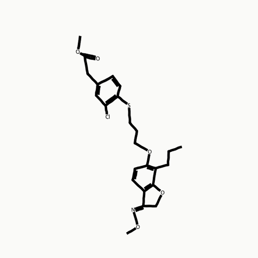 CCCc1c(OCCCSc2ccc(CC(=O)OC)cc2Cl)ccc2c1OCC2=NOC